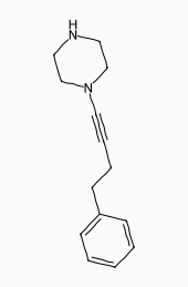 C(#CN1CCNCC1)CCc1ccccc1